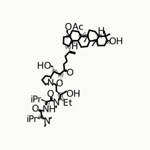 C=C(CCCC(=O)[C@H](C)[C@@H](CO)C1CCCN1C(=O)C[C@@H](CO)[C@H](CC)N(C)C(=O)[C@@H](NC(=O)[C@H](C(C)C)N(C)C)C(C)C)[C@@H]1CC[C@]2(COC(C)=O)CC[C@]3(C)C(CCC4[C@@]5(C)CC[C@H](O)C(C)(C)[C@@H]5CC[C@]43C)[C@@H]12